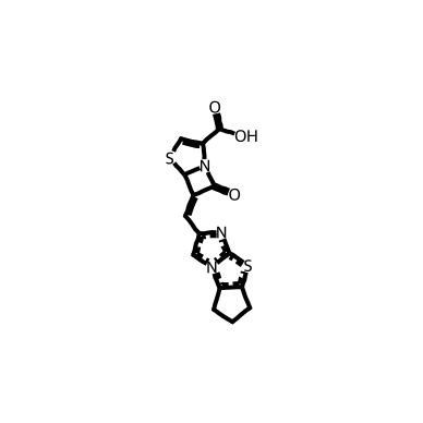 O=C(O)C1=CSC2C(=Cc3cn4c5c(sc4n3)CCC5)C(=O)N12